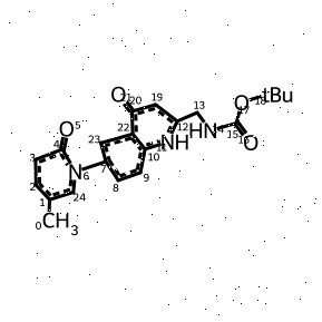 Cc1ccc(=O)n(-c2ccc3[nH]c(CNC(=O)OC(C)(C)C)cc(=O)c3c2)c1